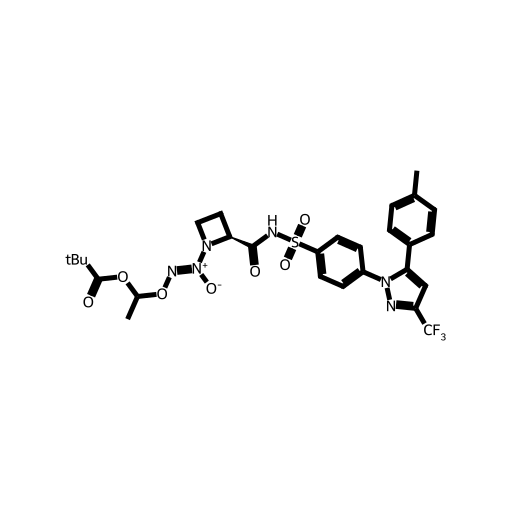 Cc1ccc(-c2cc(C(F)(F)F)nn2-c2ccc(S(=O)(=O)NC(=O)[C@@H]3CCN3/[N+]([O-])=N/OC(C)OC(=O)C(C)(C)C)cc2)cc1